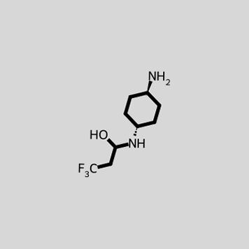 N[C@H]1CC[C@H](NC(O)CC(F)(F)F)CC1